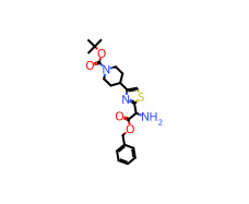 CC(C)(C)OC(=O)N1CCC(c2csc(C(N)C(=O)OCc3ccccc3)n2)CC1